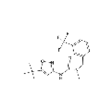 CN(Cc1cccc(C(F)(F)F)c1)C(=O)Nc1cc(C(C)(C)C)on1